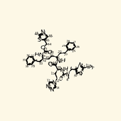 CC(C)c1nc(CN(C)C(=O)N[C@@H](CCn2cnnc2)C(=O)N[C@H](CCc2ccccc2)CC[C@@H](Cc2ccccc2)NC(=O)OCc2cncs2)cs1